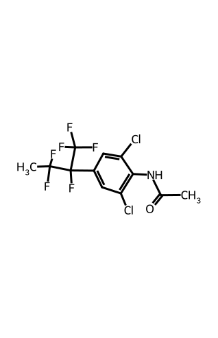 CC(=O)Nc1c(Cl)cc(C(F)(C(C)(F)F)C(F)(F)F)cc1Cl